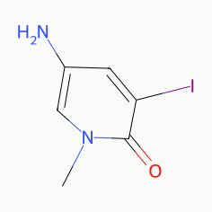 Cn1cc(N)cc(I)c1=O